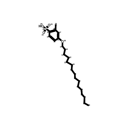 CCCCCCCCCCCCCCCCOc1ccc(S(=O)(=O)O)c(C)c1